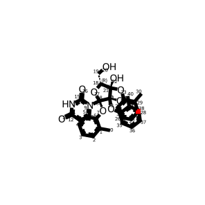 Cc1ccccc1O[C@@]1(n2ccc(=O)[nH]c2=O)O[C@H](CO)[C@](O)(Oc2ccccc2C)[C@]1(O)Oc1ccccc1C